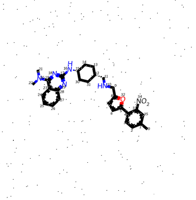 Cc1ccc(-c2ccc(CNC[C@H]3CC[C@@H](Nc4nc(N(C)C)c5ccccc5n4)CC3)o2)c([N+](=O)[O-])c1